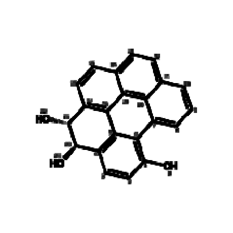 Oc1ccc2c3c1c1cccc4ccc5ccc(c3c5c41)[C@@H](O)[C@@H]2O